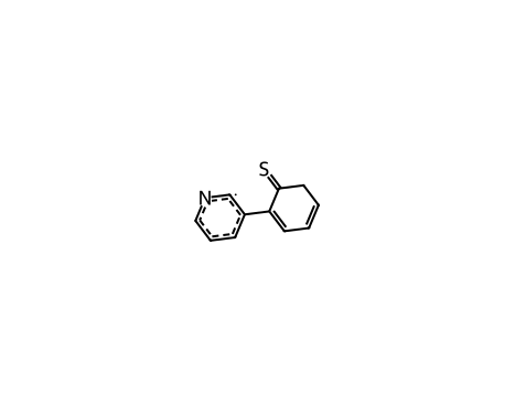 S=C1CC=CC=C1c1[c]nccc1